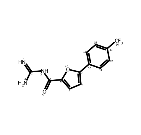 N=C(N)NC(=O)c1ccc(-c2ccc(C(F)(F)F)cc2)o1